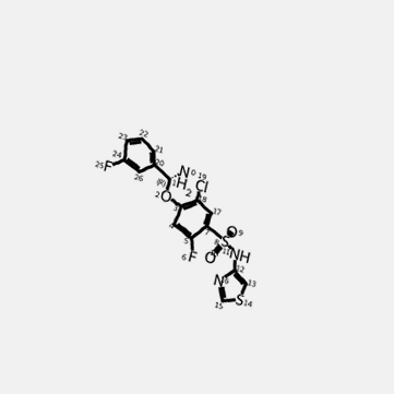 N[C@H](Oc1cc(F)c(S(=O)(=O)Nc2cscn2)cc1Cl)c1cccc(F)c1